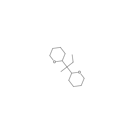 CCC(C)(C1CCCCO1)C1CCCCO1